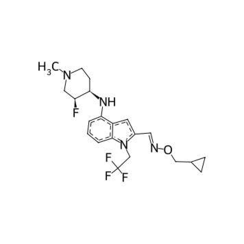 CN1CC[C@@H](Nc2cccc3c2cc(/C=N/OCC2CC2)n3CC(F)(F)F)[C@@H](F)C1